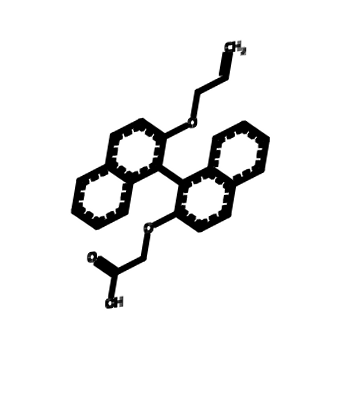 C=CCOc1ccc2ccccc2c1-c1c(OCC(=O)O)ccc2ccccc12